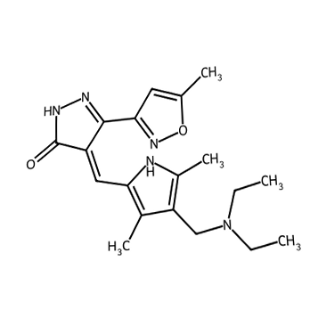 CCN(CC)Cc1c(C)[nH]c(/C=C2/C(=O)NN=C2c2cc(C)on2)c1C